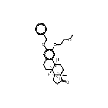 COCCOc1cc2c(cc1OCc1ccccc1)CC[C@@H]1[C@@H]2CC[C@]2(C)C(=O)CC[C@@H]12